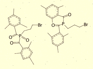 Cc1cc(C)c(C(=O)P(=O)(CCCBr)C(=O)c2c(C)cc(C)cc2C)c(C)c1.Cc1cc(C)c(C(=O)P(CCCBr)C(=O)c2c(C)cc(C)cc2C)c(C)c1